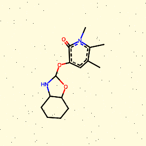 Cc1cc(OC2NC3CCCCC3O2)c(=O)n(C)c1C